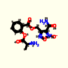 CC(N)C(=O)Oc1ccccc1C(=O)OCc1no[n+]([O-])c1C(N)=O